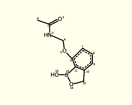 CC(=O)NCOc1cccc2c1B(O)OC2